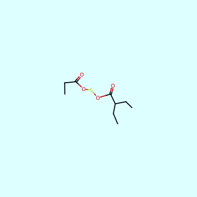 CCC(=O)OSOC(=O)C(CC)CC